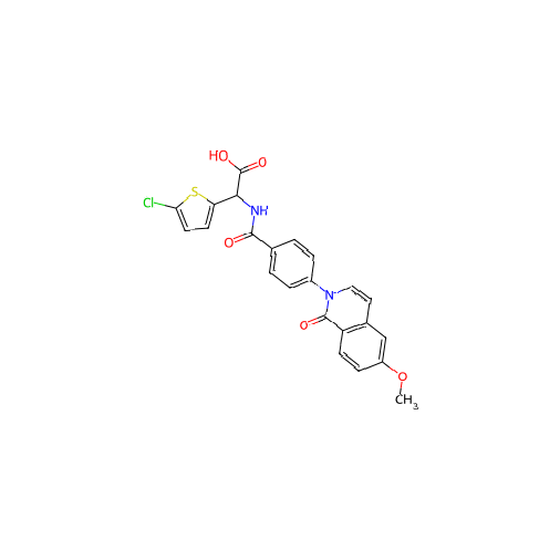 COc1ccc2c(=O)n(-c3ccc(C(=O)NC(C(=O)O)c4ccc(Cl)s4)cc3)ccc2c1